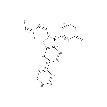 C=C/C=C(\C=C/C)n1c(/C=C\C(C)=C/C)cc2cc(-c3ccccc3)ccc21